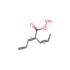 C=C/C=C(\C=C/C)C(=O)OO